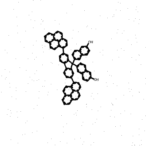 Oc1ccc2cc(C3(c4ccc5cc(O)ccc5c4)c4cc(-c5ccc6ccc7cccc8ccc5c6c78)ccc4-c4ccc(-c5ccc6ccc7cccc8ccc5c6c78)cc43)ccc2c1